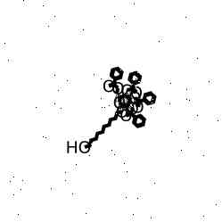 O=C(OC[C@H]1O[C@@H](OCCCCCCCCCCO)[C@H](OC(=O)c2ccccc2)[C@@H](OC(=O)c2ccccc2)[C@@H]1OC(=O)c1ccccc1)c1ccccc1